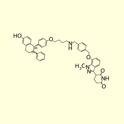 Cn1nc(C2CCC(=O)NC2=O)c2cccc(OCc3ccc(CNCCCCOc4ccc([C@@H]5c6ccc(O)cc6CC[C@@H]5c5ccccc5)cc4)cc3)c21